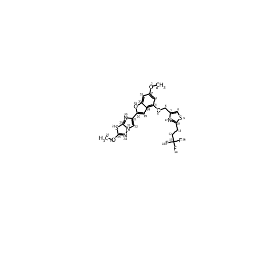 COc1cc(OCc2csc(CCC(F)(F)F)n2)c2cc(-c3cn4nc(OC)sc4n3)oc2c1